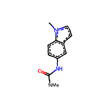 CNC(=O)Nc1ccc2c(ccn2C)c1